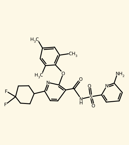 Cc1cc(C)c(Oc2nc(C3CCC(F)(F)CC3)ccc2C(=O)NS(=O)(=O)c2cccc(N)n2)c(C)c1